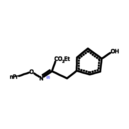 CCCO/N=C(/Cc1ccc(O)cc1)C(=O)OCC